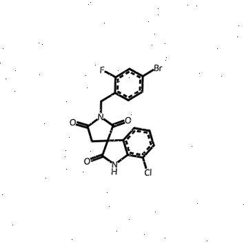 O=C1CC2(C(=O)Nc3c(Cl)cccc32)C(=O)N1Cc1ccc(Br)cc1F